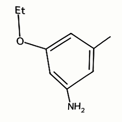 CCOc1cc(C)cc(N)c1